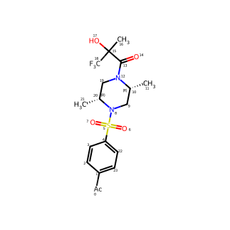 CC(=O)c1ccc(S(=O)(=O)N2C[C@@H](C)N(C(=O)C(C)(O)C(F)(F)F)C[C@H]2C)cc1